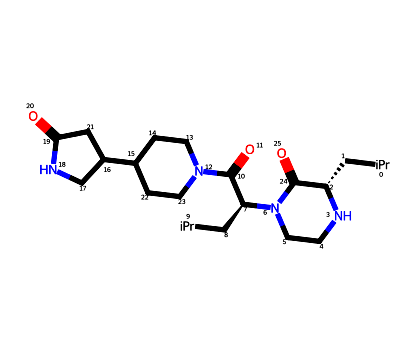 CC(C)C[C@@H]1NCCN([C@@H](CC(C)C)C(=O)N2CCC(C3CNC(=O)C3)CC2)C1=O